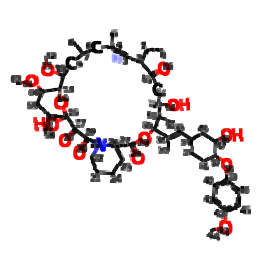 CCC1/C=C(\C)CC(C)CC(OC)C2OC(O)(C(=O)C(=O)N3CCCCC3C(=O)OC(C(C)=CC3CCC(Oc4ccc(OC)cc4)C(O)C3)C(C)C(O)CC1=O)C(C)CC2OC